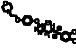 CCn1c(Oc2ccc(OCCN3CCOCC3)cc2)nnc1[C@@H](C)NS(=O)(=O)c1ccc(Cl)c(Cl)c1